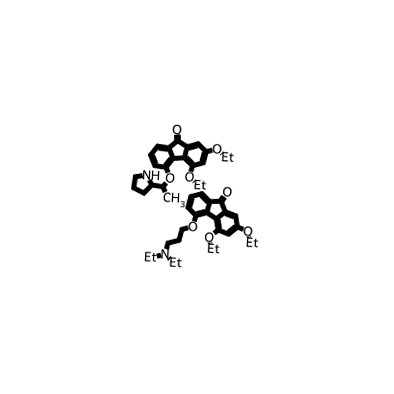 CCOc1cc(OCC)c2c(c1)C(=O)c1cccc(OC(C)C3CCCN3)c1-2.CCOc1cc(OCC)c2c(c1)C(=O)c1cccc(OCCCN(CC)CC)c1-2